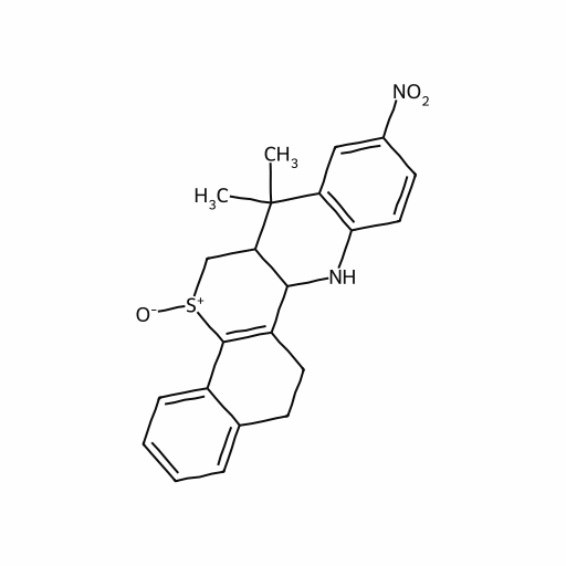 CC1(C)c2cc([N+](=O)[O-])ccc2NC2C3=C(c4ccccc4CC3)[S+]([O-])CC21